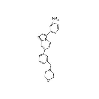 Nc1cccc(-c2cnc3cc(-c4cccc(CN5CCOCC5)c4)ccn23)c1